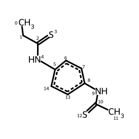 CCC(=S)Nc1ccc(NC(C)=S)cc1